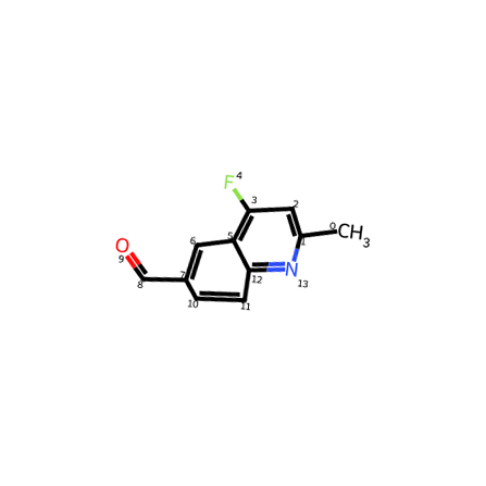 Cc1cc(F)c2cc(C=O)ccc2n1